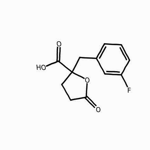 O=C1CCC(Cc2cccc(F)c2)(C(=O)O)O1